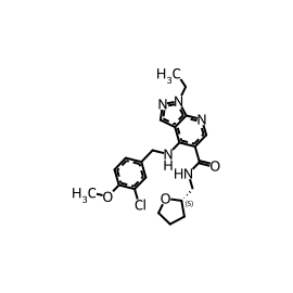 CCn1ncc2c(NCc3ccc(OC)c(Cl)c3)c(C(=O)NC[C@@H]3CCCO3)cnc21